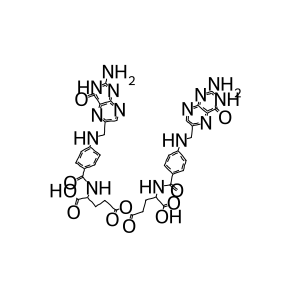 Nc1nc2ncc(CNc3ccc(C(=O)NC(CCC(=O)OC(=O)CCC(NC(=O)c4ccc(NCc5cnc6nc(N)[nH]c(=O)c6n5)cc4)C(=O)O)C(=O)O)cc3)nc2c(=O)[nH]1